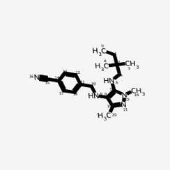 CCC(C)(C)CNc1c(NCc2ccc(C#N)cc2)c(C)nn1C